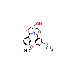 COc1cccc(C2OCC3(CO)COC(c4cccc(OC)c4)N23)c1